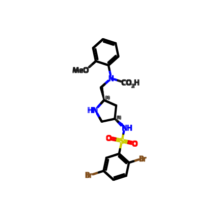 COc1ccccc1N(C[C@H]1C[C@@H](NS(=O)(=O)c2cc(Br)ccc2Br)CN1)C(=O)O